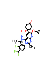 Cc1nc(N[C@H](C)c2cccc(C(F)F)c2F)c2cc(C3(O)CCC(=O)CC3)c(OC3CC3)nc2n1